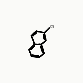 N#Cc1ccc2cc[c]cc2c1